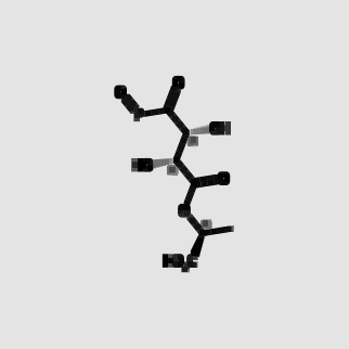 C[C@H](OC(=O)[C@H](O)[C@@H](O)C(=O)P=O)C(=O)O